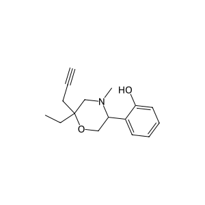 C#CCC1(CC)CN(C)C(c2ccccc2O)CO1